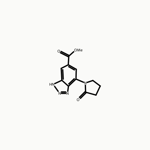 COC(=O)c1cc(N2CCCC2=O)c2nn[nH]c2c1